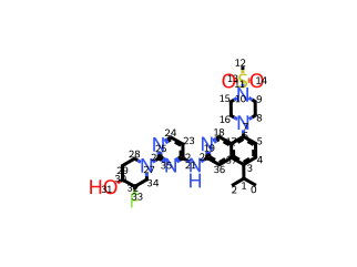 CC(C)c1ccc(N2CCN(S(C)(=O)=O)CC2)c2cnc(Nc3ccnc(N4CCC(O)C(F)C4)n3)cc12